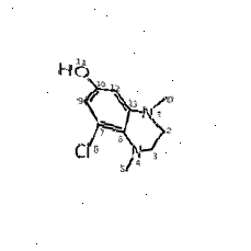 CN1CCN(C)c2c(Cl)cc(O)cc21